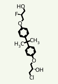 CC(C)(c1ccc(OC[C@H](O)CCl)cc1)c1ccc(OC[C@@H](F)CO)cc1